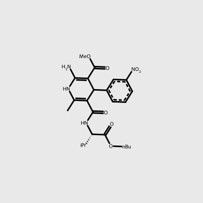 CCCCOC(=O)[C@@H](NC(=O)C1=C(C)NC(N)=C(C(=O)OC)C1c1cccc([N+](=O)[O-])c1)C(C)C